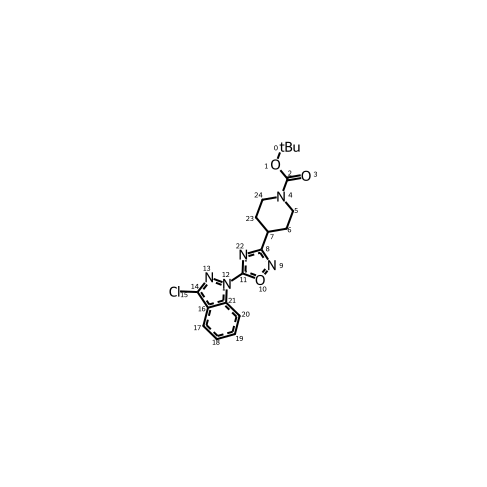 CC(C)(C)OC(=O)N1CCC(c2noc(-n3nc(Cl)c4ccccc43)n2)CC1